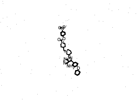 Nc1ncnc2c1c(-c1ccc(Oc3ccccc3)cc1)nn2[C@@H]1CCCN(CC2CCN(C(=O)Oc3ccc([N+](=O)[O-])cc3)CC2)C1